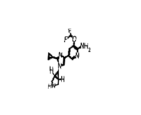 Nc1ncc(-c2cn([C@@H]3[C@@H]4CNC[C@@H]43)c(C3CC3)n2)cc1OC(F)F